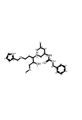 CSCC(O)C(CCSCc1ccco1)NCC(CC(C)C)NC(=O)OCc1ccccc1